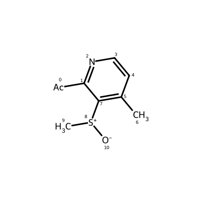 CC(=O)c1nccc(C)c1[S+](C)[O-]